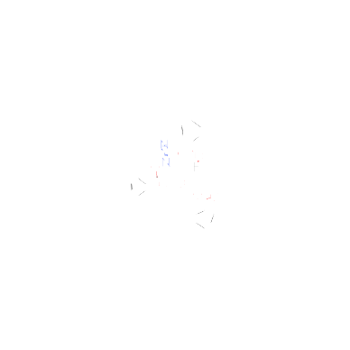 CCC1C(COC(=O)c2ccccc2)OC(OC(=O)c2ccccc2)C(N=[N+]=[N-])C1OC(=O)c1ccccc1